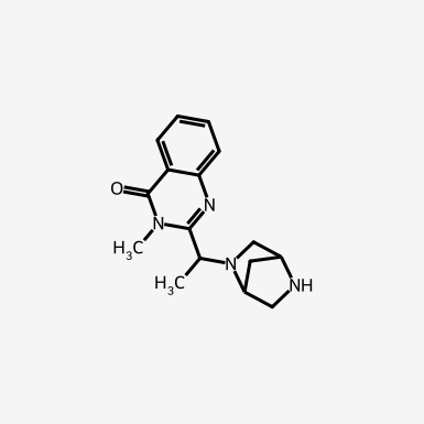 CC(c1nc2ccccc2c(=O)n1C)N1CC2CC1CN2